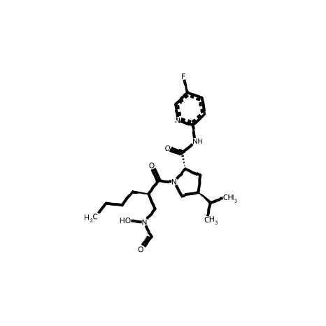 CCCC[C@H](CN(O)C=O)C(=O)N1C[C@H](C(C)C)C[C@H]1C(=O)Nc1ccc(F)cn1